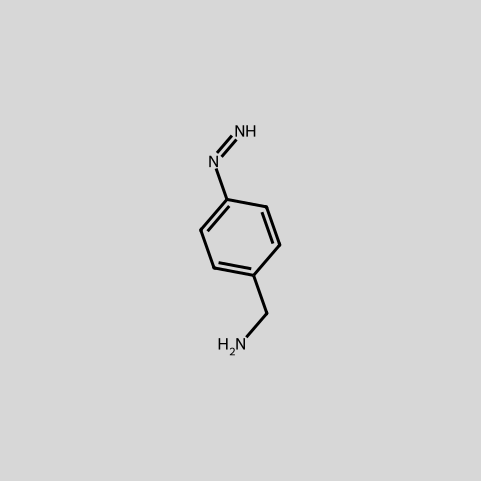 N=Nc1ccc(CN)cc1